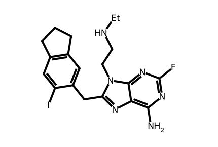 CCNCCn1c(Cc2cc3c(cc2I)CCC3)nc2c(N)nc(F)nc21